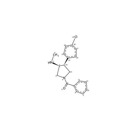 CN[C@@H]1CN(C(=O)c2ccccc2)C[C@@H]1c1ccc(Cl)cc1